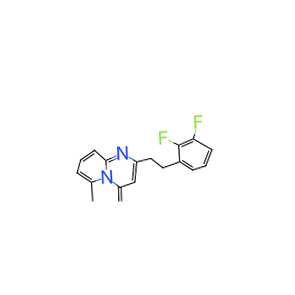 C=C1C=C(CCc2cccc(F)c2F)N=C2C=CC=C(C)N12